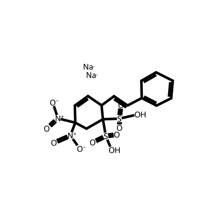 O=[N+]([O-])C1([N+](=O)[O-])C=CC(C=Cc2ccccc2)C(S(=O)(=O)O)(S(=O)(=O)O)C1.[Na].[Na]